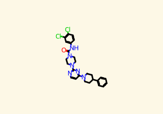 O=C(Nc1ccc(Cl)c(Cl)c1)N1CCN(c2nccc(N3CCC(c4ccccc4)CC3)n2)CC1